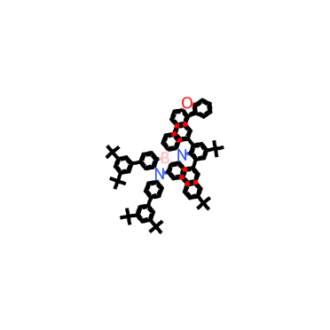 CC(C)(C)c1ccc(-c2cc3c4c(c2)N(c2c(-c5ccccc5)cc(C(C)(C)C)cc2-c2ccccc2)c2cc(-c5ccc6oc7ccccc7c6c5)ccc2B4c2ccc(-c4cc(C(C)(C)C)cc(C(C)(C)C)c4)cc2N3c2ccc(-c3cc(C(C)(C)C)cc(C(C)(C)C)c3)cc2)cc1